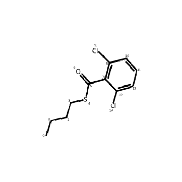 CCCCSC(=O)c1c(Cl)cccc1Cl